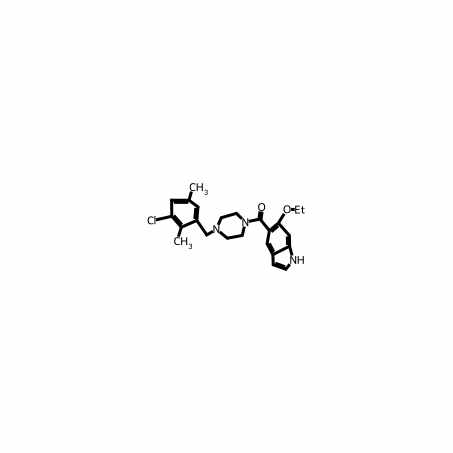 CCOc1cc2[nH]ccc2cc1C(=O)N1CCN(Cc2cc(C)cc(Cl)c2C)CC1